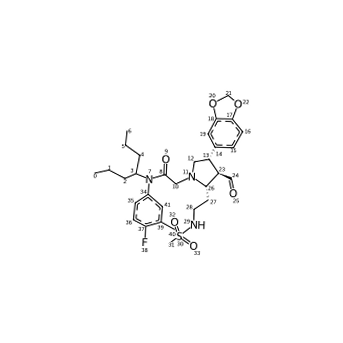 CCCC(CCC)N(C(=O)CN1C[C@H](c2ccc3c(c2)OCO3)[C@@H](C=O)[C@@H]1CCNS(C)(=O)=O)c1ccc(F)c(C)c1